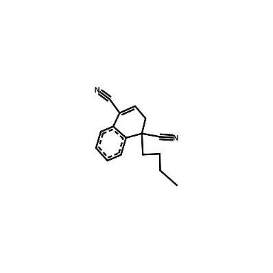 CCCCC1(C#N)CC=C(C#N)c2ccccc21